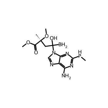 BC(O)(C[C@](C)(OC)C(=O)OC)n1cnc2c(N)nc(PC)nc21